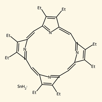 CCC1=C(CC)C2=NC1=CC1=NC(=CC3=NC(=CC4=NC(=C2)C(CC)=C4CC)C(CC)=C3CC)C(CC)=C1CC.[SnH2]